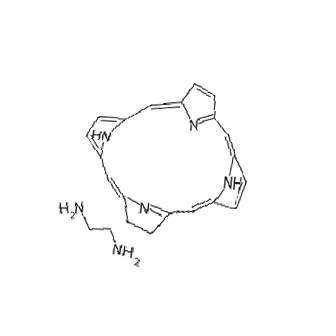 C1=Cc2cc3ccc(cc4nc(cc5ccc(cc1n2)[nH]5)CC4)[nH]3.NCCN